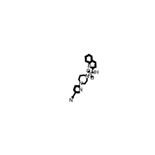 N#Cc1ccc(N2CCCN(S(=O)(=O)Nc3ccc4ccccc4n3)CC2)nc1